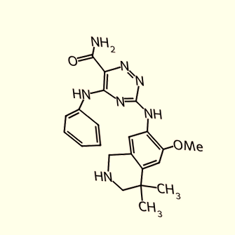 COc1cc2c(cc1Nc1nnc(C(N)=O)c(Nc3ccccc3)n1)CNCC2(C)C